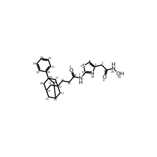 O=C(Cc1csc(NC(=O)CCC23CC4CC(C2)CC(c2ccccc2)(C4)C3)n1)NO